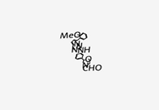 COc1ccccc1-c1ccc2cnc(Nc3cccc(C4CN(C=O)CCO4)c3)nn12